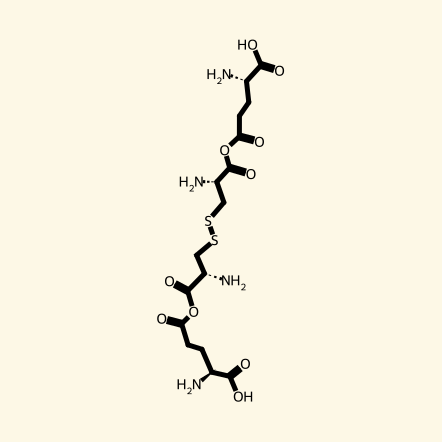 N[C@@H](CCC(=O)OC(=O)[C@@H](N)CSSC[C@H](N)C(=O)OC(=O)CC[C@H](N)C(=O)O)C(=O)O